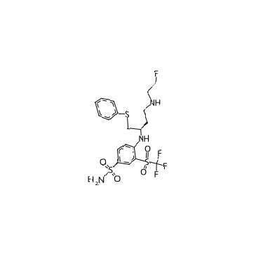 NS(=O)(=O)c1ccc(N[C@H](CCNCCF)CSc2ccccc2)c(S(=O)(=O)C(F)(F)F)c1